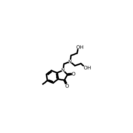 Cc1ccc2c(c1)C(=O)C(=O)N2CN(CCO)CCO